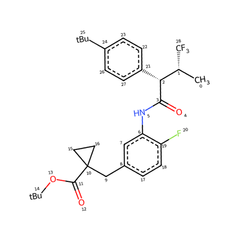 C[C@H]([C@H](C(=O)Nc1cc(CC2(C(=O)OC(C)(C)C)CC2)ccc1F)c1ccc(C(C)(C)C)cc1)C(F)(F)F